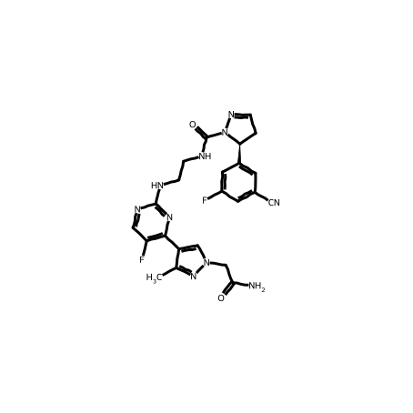 Cc1nn(CC(N)=O)cc1-c1nc(NCCNC(=O)N2N=CC[C@H]2c2cc(F)cc(C#N)c2)ncc1F